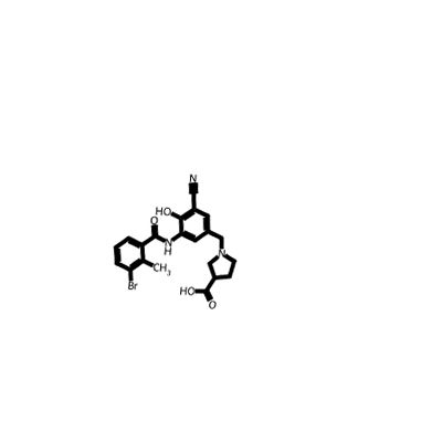 Cc1c(Br)cccc1C(=O)Nc1cc(CN2CCC(C(=O)O)C2)cc(C#N)c1O